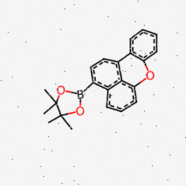 CC1(C)OB(c2ccc3c4c(cccc24)Oc2ccccc2-3)OC1(C)C